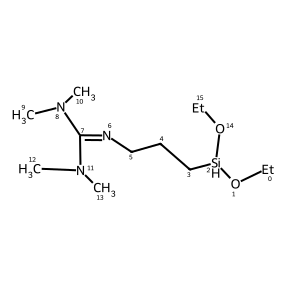 CCO[SiH](CCCN=C(N(C)C)N(C)C)OCC